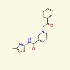 Cc1csc(NC(=O)C2=CC=CN(CC(=O)c3ccccc3)C2)n1